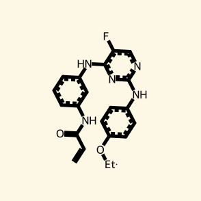 C=CC(=O)Nc1cccc(Nc2nc(Nc3ccc(O[CH]C)cc3)ncc2F)c1